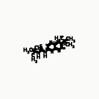 CC(C)(C)NC(=S)Nc1ccc2cc(C(C)(C)C)ccc2c1